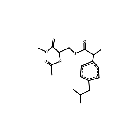 COC(=O)C(CSC(=O)C(C)c1ccc(CC(C)C)cc1)NC(C)=O